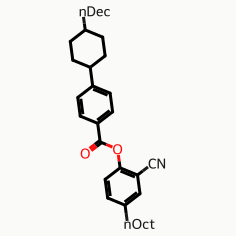 CCCCCCCCCCC1CCC(c2ccc(C(=O)Oc3ccc(CCCCCCCC)cc3C#N)cc2)CC1